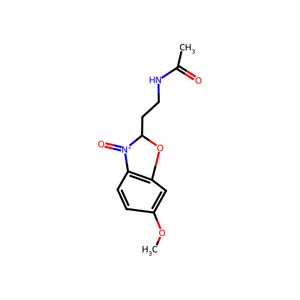 COc1ccc2c(c1)OC(CCNC(C)=O)[N+]2=O